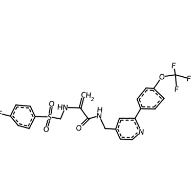 C=C(NCS(=O)(=O)c1ccc(F)cc1)C(=O)NCc1ccnc(-c2ccc(OC(F)(F)F)cc2)c1